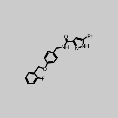 CC(C)c1cc(C(=O)NCc2ccc(OCc3ccccc3F)cc2)n[nH]1